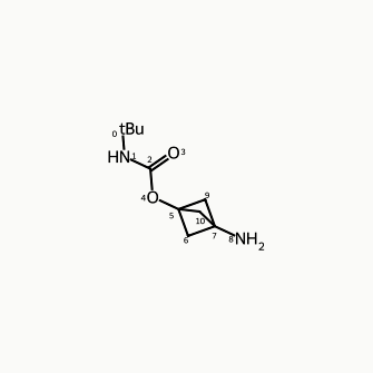 CC(C)(C)NC(=O)OC12CC(N)(C1)C2